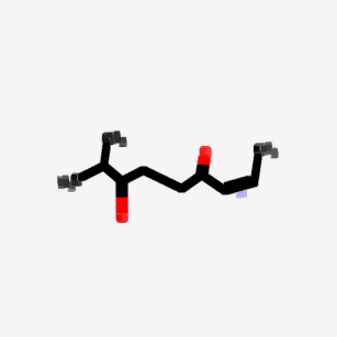 C/C=C\C(=O)CCC(=O)C(C)C